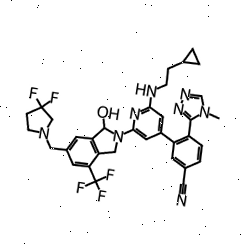 Cn1cnnc1-c1ccc(C#N)cc1-c1cc(NCCC2CC2)nc(N2Cc3c(cc(CN4CCC(F)(F)C4)cc3C(F)(F)F)C2O)c1